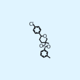 Cc1cccc(S(=O)(=O)C2(C)CCC(c3ccc(Cl)cc3)OC2)c1